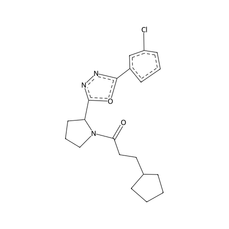 O=C(CCC1CCCC1)N1CCCC1c1nnc(-c2cccc(Cl)c2)o1